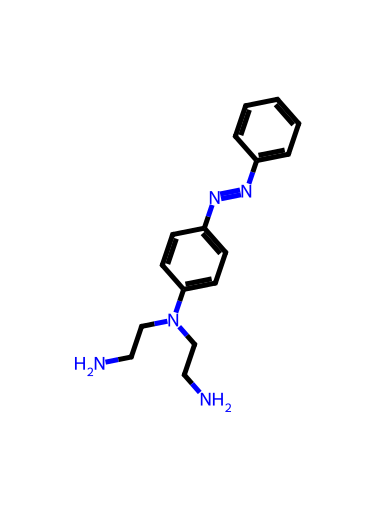 NCCN(CCN)c1ccc(N=Nc2ccccc2)cc1